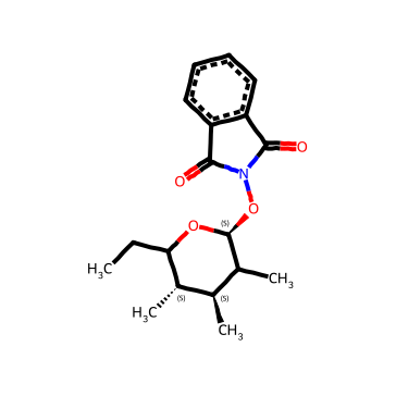 CCC1O[C@@H](ON2C(=O)c3ccccc3C2=O)C(C)[C@@H](C)[C@@H]1C